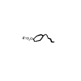 CC=CCCC1CCC(C(=O)OCC)CC1